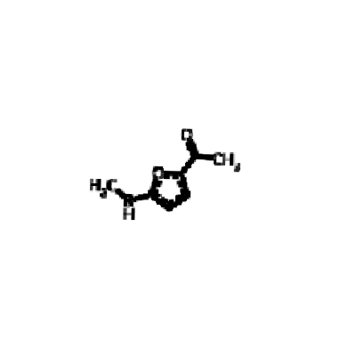 CBc1ccc(C(C)=O)o1